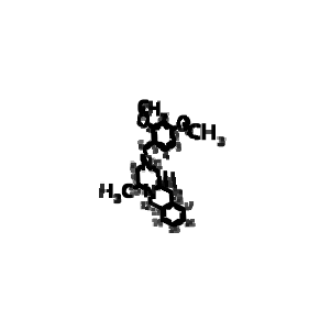 COc1ccc(CN2CC(C)N3Cc4ccccc4C[C@@H]3C2)c(OC)c1